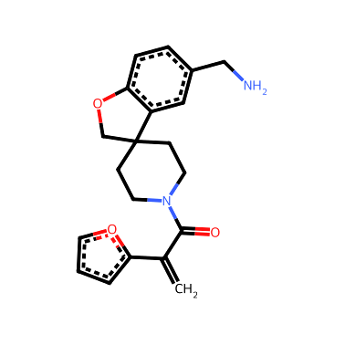 C=C(C(=O)N1CCC2(CC1)COc1ccc(CN)cc12)c1ccco1